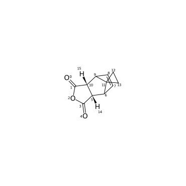 O=C1OC(=O)[C@H]2C3C=CC([C@@H]12)C31CC1